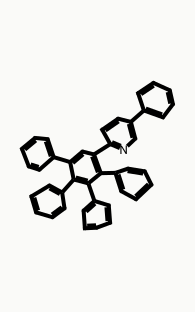 c1ccc(-c2ccc(-c3cc(-c4ccccc4)c(-c4ccccc4)c(-c4ccccc4)c3-c3ccccc3)nc2)cc1